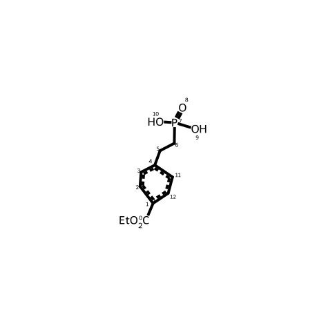 CCOC(=O)c1ccc(CCP(=O)(O)O)cc1